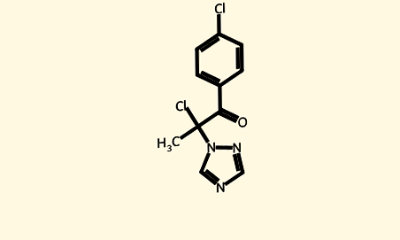 CC(Cl)(C(=O)c1ccc(Cl)cc1)n1cncn1